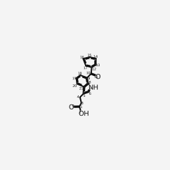 O=C(O)CCc1c[nH]c2c(C(=O)c3ccccc3)cccc12